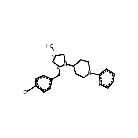 O[C@H]1C[C@H](Cc2ccc(Cl)cc2)N(C2CCN(c3ccccn3)CC2)C1